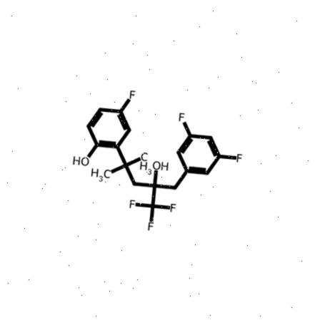 CC(C)(CC(O)(Cc1cc(F)cc(F)c1)C(F)(F)F)c1cc(F)ccc1O